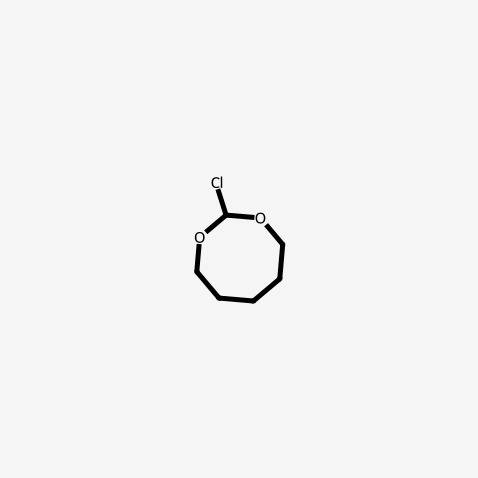 ClC1OCCCCCO1